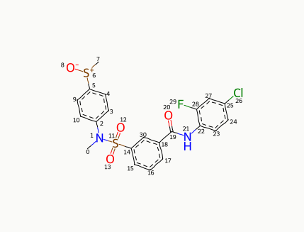 CN(c1ccc([S+](C)[O-])cc1)S(=O)(=O)c1cccc(C(=O)Nc2ccc(Cl)cc2F)c1